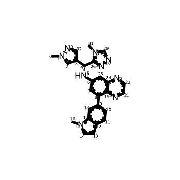 Cn1cc([C@@H](Nc2cc(-c3ccc4ccn(C)c4c3)c3nccnc3c2)c2nncn2C)cn1